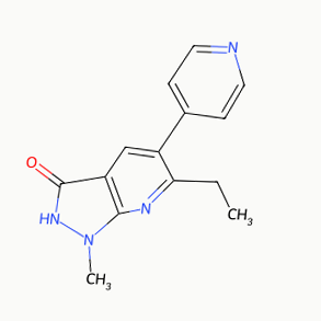 CCc1nc2c(cc1-c1ccncc1)c(=O)[nH]n2C